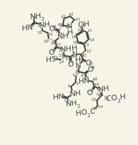 N=C(N)NCCC[C@H](NC(=O)[C@H](Cc1ccc(O)cc1)NC(=O)[C@H](CS)NC(=O)[C@H](CCCNC(=N)N)NC(=O)[C@@H]1CCCN1)C(=O)NCC(=O)N[C@@H](CCC(=O)O)C(=O)O